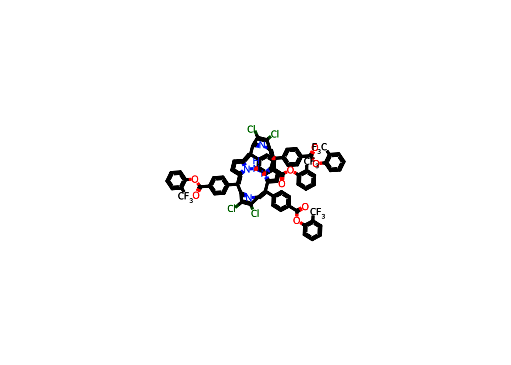 O=C(Oc1ccccc1C(F)(F)F)c1ccc(/C2=C3N=C(C(Cl)=C/3Cl)/C(c3ccc(C(=O)Oc4ccccc4C(F)(F)F)cc3)=c3/cc/c4n3Nn3c2ccc3/C(c2ccc(C(=O)Oc3ccccc3C(F)(F)F)cc2)=C2N=C(C(Cl)=C\2Cl)/C=4c2ccc(C(=O)Oc3ccccc3C(F)(F)F)cc2)cc1